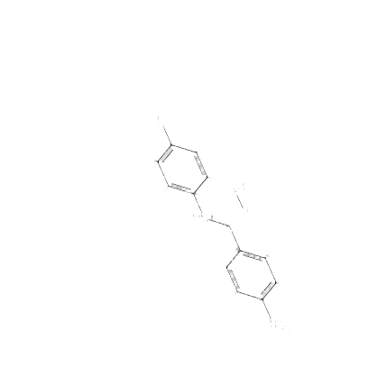 O=[N+]([O-])c1ccc([C@@H](CO)Nc2ccc(F)cc2)cc1